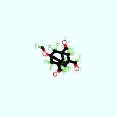 O=C(F)C12C(F)C3(C(=O)F)C(F)(F)C(OCF)(C(F)C(C(=O)F)(C1(F)F)C3(F)F)C2(F)F